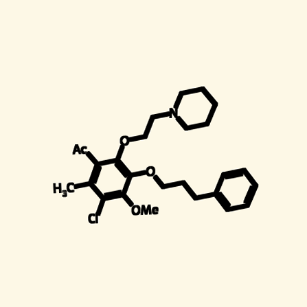 COc1c(Cl)c(C)c(C(C)=O)c(OCCN2CCCCC2)c1OCCCc1ccccc1